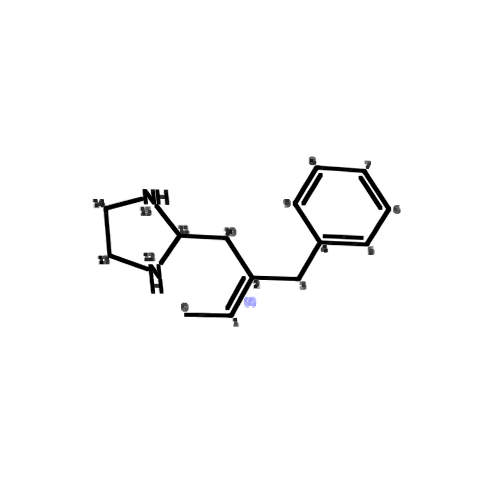 C/C=C(/Cc1ccccc1)CC1NCCN1